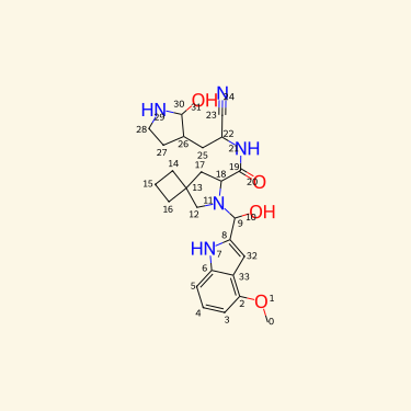 COc1cccc2[nH]c(C(O)N3CC4(CCC4)CC3C(=O)NC(C#N)CC3CCNC3O)cc12